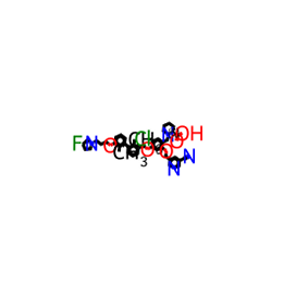 Cc1c(COc2cc(OCc3cncc(C#N)c3)c(CN3CCCC[C@H]3C(=O)O)cc2Cl)cccc1-c1cccc(OCCCN2CCC(F)C2)c1C